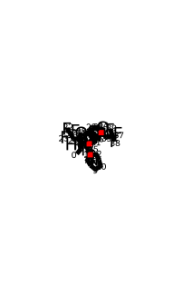 Cc1nc2c(n1C1CC3CCC(C1)N3CC[C@H](NC(=O)CC(F)(F)F)c1ccccc1)CN(C(=O)CC(F)(F)F)CC2